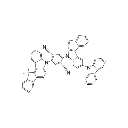 CC1(C)c2ccccc2-c2ccc3c(c21)c1ccccc1n3-c1cc(C#N)c(-n2c3ccc(-n4c5ccccc5c5ccccc54)cc3c3c4ccccc4ccc32)cc1C#N